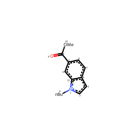 CCCCn1ccc2ccc(C(=O)OC)cc21